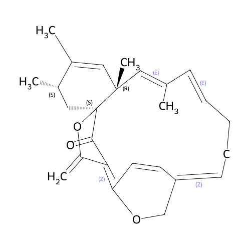 C=C1O[C@@]23C[C@H](C)C(C)=C[C@]2(C)/C=C(C)/C=C/CC/C=C2C=C/C(=C\1C3=O)OC/2